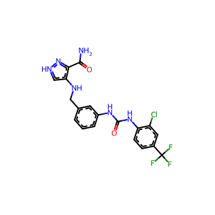 NC(=O)c1n[nH]cc1NCc1cccc(NC(=O)Nc2ccc(C(F)(F)F)cc2Cl)c1